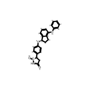 O=C1CC(c2ccc(O[C@@H]3CCc4c(Oc5ccccc5)cccc43)cc2)[S+]([O-])N1